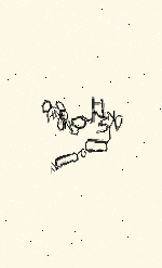 O=C1N=C(Nc2ccc3c(c2)CCN3S(=O)(=O)NC(=O)c2ccccc2)SC1=Cc1ccc(OCc2ccc(F)cc2)cc1